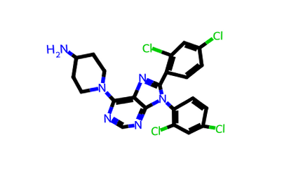 NC1CCN(c2ncnc3c2nc(-c2ccc(Cl)cc2Cl)n3-c2ccc(Cl)cc2Cl)CC1